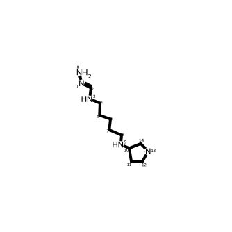 NN=CNCCCCCNC1CC[N]C1